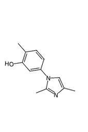 Cc1cn(-c2ccc(C)c(O)c2)c(C)n1